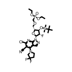 CCOP(=O)(COC[C@H]1O[C@@H](n2ncc3c(N4CCC(F)(F)C4)c(C#N)c(Cl)nc32)[C@@H](F)[C@@H]1O[Si](C)(C)C(C)(C)C)OCC